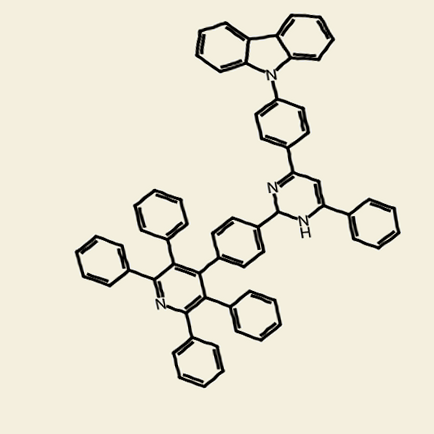 C1=C(c2ccccc2)NC(c2ccc(-c3c(-c4ccccc4)c(-c4ccccc4)nc(-c4ccccc4)c3-c3ccccc3)cc2)N=C1c1ccc(-n2c3ccccc3c3ccccc32)cc1